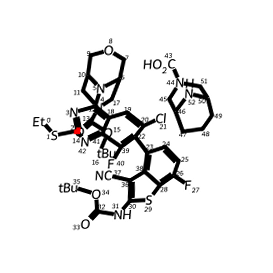 CCSc1nc(N2C3COCC2CN(C(=O)OC(C)(C)C)C3)c2cc(Cl)c(-c3ccc(F)c4sc(NC(=O)OC(C)(C)C)c(C#N)c34)c(F)c2n1.O=C(O)N1CC2CCCC(C1)N2